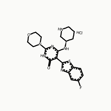 Cl.O=c1[nH]c(N2CCOCC2)nc(N[C@@H]2CCCNC2)c1-c1nc2cc(F)ccc2s1